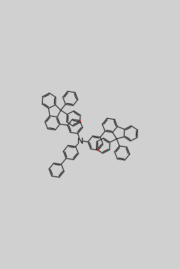 c1ccc(-c2ccc(N(c3cccc(-c4cccc5c4C(c4ccccc4)(c4ccccc4)c4ccccc4-5)c3)c3cccc(-c4cccc5c4C(c4ccccc4)(c4ccccc4)c4ccccc4-5)c3)cc2)cc1